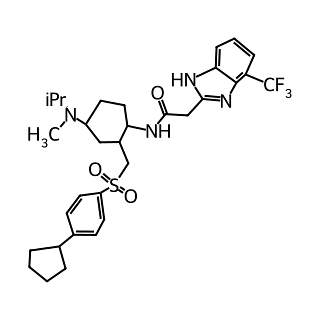 CC(C)N(C)C1CCC(NC(=O)Cc2nc3c(C(F)(F)F)cccc3[nH]2)C(CS(=O)(=O)c2ccc(C3CCCC3)cc2)C1